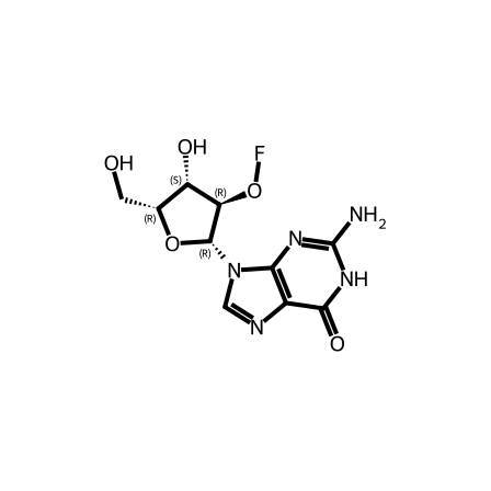 Nc1nc2c(ncn2[C@@H]2O[C@H](CO)[C@H](O)[C@H]2OF)c(=O)[nH]1